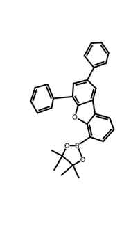 CC1(C)OB(c2cccc3c2oc2c(-c4ccccc4)cc(-c4ccccc4)cc23)OC1(C)C